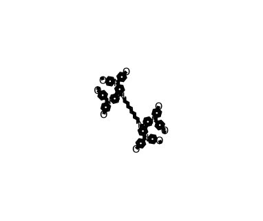 COc1ccc(N(c2ccc(OC)cc2)c2ccc3c(c2)c2cc(N(c4ccc(OC)cc4)c4ccc(OC)cc4)ccc2n3CCCCCCCCCCn2c3ccc(N(c4ccc(OC)cc4)c4ccc(OC)cc4)cc3c3cc(N(c4ccc(OC)cc4)c4ccc(OC)cc4)ccc32)cc1